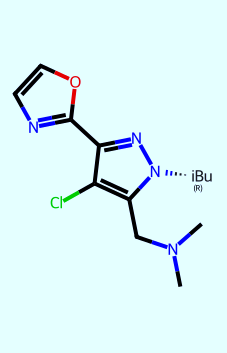 CC[C@@H](C)n1nc(-c2ncco2)c(Cl)c1CN(C)C